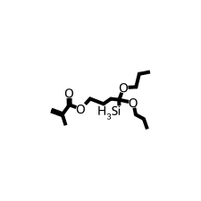 C=C(C)C(=O)OCCCC([SiH3])(OCCC)OCCC